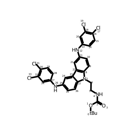 CC(C)(C)OC(=O)NCCn1c2ccc(Nc3ccc(Cl)c(Cl)c3)cc2c2cc(Nc3ccc(Cl)c(Cl)c3)ccc21